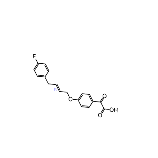 O=C(O)C(=O)c1ccc(OC/C=C/Cc2ccc(F)cc2)cc1